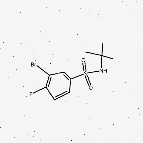 CC(C)(C)NS(=O)(=O)c1ccc(F)c(Br)c1